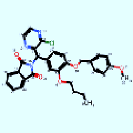 CCCCOc1cc(C(c2nccnc2Cl)N2C(=O)c3ccccc3C2=O)ccc1OCc1ccc(OC)cc1